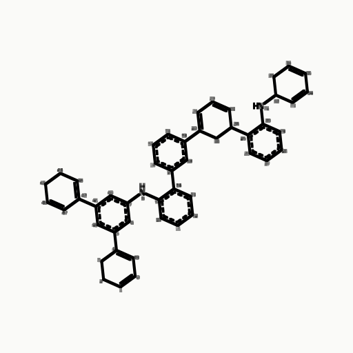 C1=CCCC(c2cc(Nc3ccccc3-c3cccc(C4=CC=CC(c5ccccc5NC5C=CC=CC5)C4)c3)cc(C3=CCCC=C3)c2)=C1